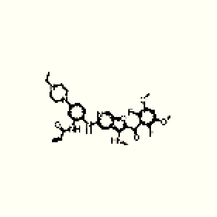 C=CC(=O)Nc1cc(N2CCN(CC)CC2)ccc1Nc1cc2c(NC)c(C(=O)c3c(F)c(OC)cc(OC)c3F)oc2cn1